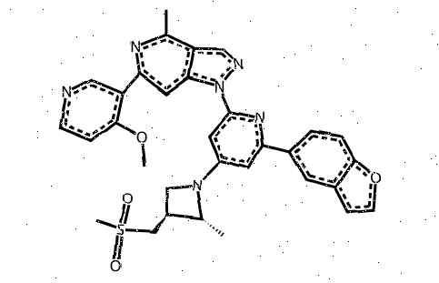 COc1ccncc1-c1cc2c(cnn2-c2cc(N3C[C@H](CS(C)(=O)=O)[C@H]3C)cc(-c3ccc4occc4c3)n2)c(C)n1